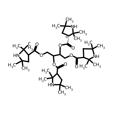 CC1(C)CC(C(=O)OCC(OC(=O)C2CC(C)(C)NC2(C)C)C(COC(=O)C2CC(C)(C)NC2(C)C)OC(=O)[C@@H]2CC(C)(C)NC2(C)C)C(C)(C)N1